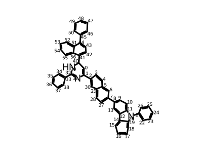 C1=C(c2ccc3cc(-c4ccc5c(c4)c4ccccc4n5-c4ccccc4)ccc3c2)N=C(c2ccccc2)NC1c1ccc(-c2ccccc2)c2ccccc12